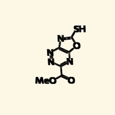 COC(=O)c1nnc2nc(S)oc2n1